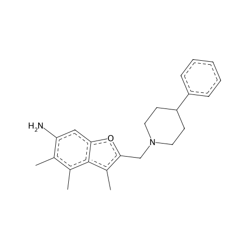 Cc1c(N)cc2oc(CN3CCC(c4ccccc4)CC3)c(C)c2c1C